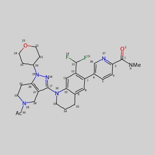 CNC(=O)c1ccc(-c2cc3c(cc2C(F)F)N(c2nn(C4CCOCC4)c4c2CN(C(C)=O)CC4)CCC3)cn1